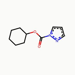 O=C(OC1CCCCC1)n1cc[c]n1